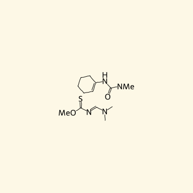 CNC(=O)NC1=CCCCC1.COC(=S)N=CN(C)C